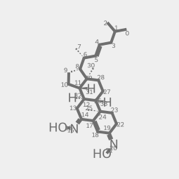 CC(C)CC=C[C@@H](C)[C@H]1CC[C@H]2[C@@H]3CC(=NO)C4=CC(=NO)CC[C@]4(C)[C@H]3CC[C@]12C